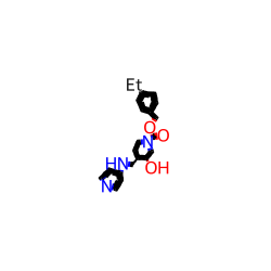 CCc1ccc(COC(=O)N2CC[C@H](CNc3ccncc3)[C@H](O)C2)cc1